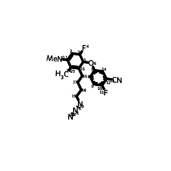 CNC1=CC(F)C(Oc2ccc(F)c(C#N)c2)C(CCCCN=[N+]=[N-])=C1C